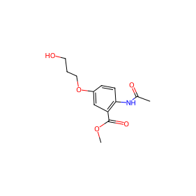 COC(=O)c1cc(OCCCO)ccc1NC(C)=O